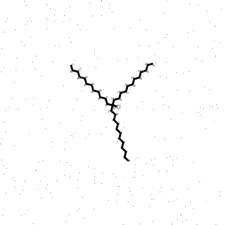 CCCCCCCCCCCCC(Cl)(CCCCCCCCCCCC)CCCCCCCCCCCC